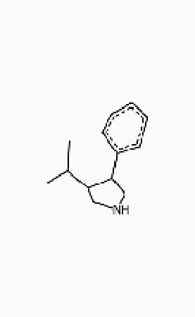 CC(C)C1CNCC1c1ccccc1